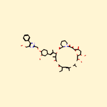 CCC1/C=C(\C)CC(C)CC(OC)C2OC(O)(C(=O)C(=O)N3CCCCC3C(=O)OC(C(C)=CC3CCC(OCc4nc(COC)c(-c5ccccc5)[nH]4)C(OC)C3)C(C)C(O)CC1=O)C(C)CC2OC